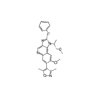 COCC(C)n1c(Oc2ccccc2)nc2cnc3cc(-c4c(C)noc4C)c(OC)cc3c21